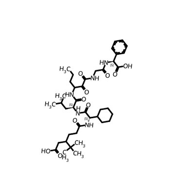 CCCC(NC(=O)[C@H](CC(C)C)NC(=O)[C@@H](NC(=O)CCC(CC(=O)O)C(C)(C)C)C1CCCCC1)C(=O)C(=O)NCC(=O)N[C@H](C(=O)O)c1ccccc1